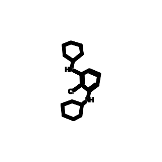 Clc1c(NC2CCCCC2)cccc1NC1CCCCC1